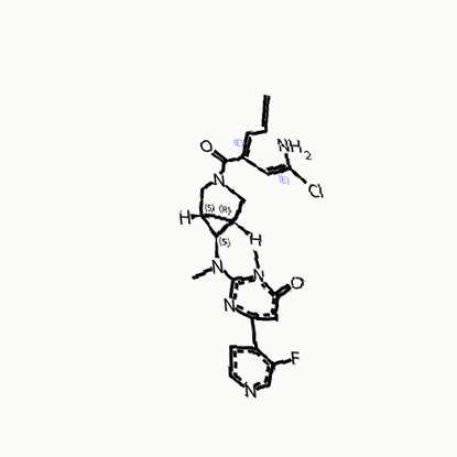 C=C/C=C(\C=C(/N)Cl)C(=O)N1C[C@@H]2[C@H](C1)[C@H]2N(C)c1nc(-c2ccncc2F)cc(=O)n1C